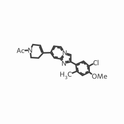 COc1cc(C)c(-c2cn3ccc(C4=CCN(C(C)=O)CC4)cc3n2)cc1Cl